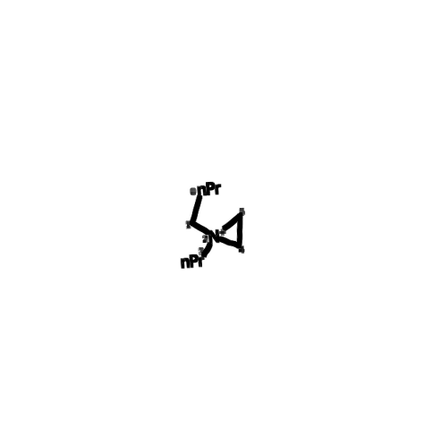 CCCC[N+]1(CCC)CC1